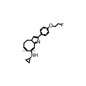 FCCOc1ccc(C2=CC3CC/C=C\C(NC4CC4)=C/C3=N2)cc1